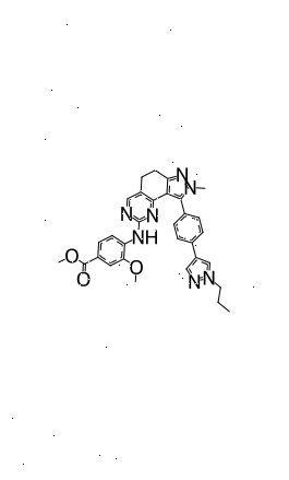 CCCn1cc(-c2ccc(-c3c4c(nn3C)CCc3cnc(Nc5ccc(C(=O)OC)cc5OC)nc3-4)cc2)cn1